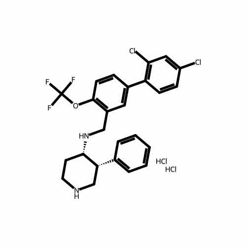 Cl.Cl.FC(F)(F)Oc1ccc(-c2ccc(Cl)cc2Cl)cc1CN[C@H]1CCNC[C@H]1c1ccccc1